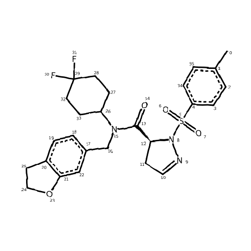 Cc1ccc(S(=O)(=O)N2N=CC[C@H]2C(=O)N(Cc2ccc3c(c2)OCC3)C2CCC(F)(F)CC2)cc1